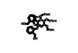 CCCCCON1P(OCCCCC)N=P(Oc2ccccc2CO)(Oc2ccccc2CO)N(OCCCCC)P1OCCCCC